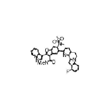 CNC(=O)c1c(-c2cnn3ccccc23)oc2cc(N(C)S(C)(=O)=O)c(-c3ccc4c(n3)-c3cc5c(F)cccc5n3CC4)cc12